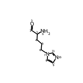 NC(C=O)CCCn1c[c]nc1